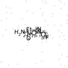 CCC1[C@@H](N)CC(=O)N1c1ccc2c(cnn2-c2ccc(F)cc2)c1